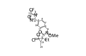 CCC1(C(=O)N(Cc2ccc(-c3noc(C(F)(F)F)n3)cc2)OC)C(C)C1(Cl)Cl